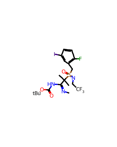 C/N=C(/NC(=O)OC(C)(C)C)C(C)(C)S(=O)(Cc1cc(I)ccc1F)=NCC(F)(F)F